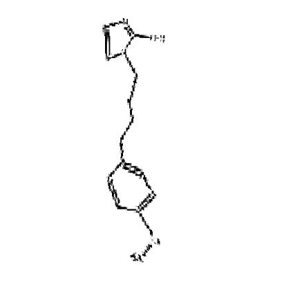 CC(C)(C)Oc1ccc(CCCCn2ccnc2C=O)cc1